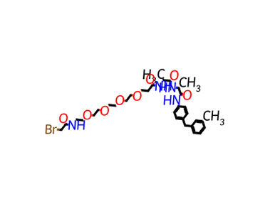 Cc1cccc(Cc2ccc(NC(=O)[C@H](C)NC(=O)[C@H](C)NC(=O)CCOCCOCCOCCOCCNC(=O)CBr)cc2)c1